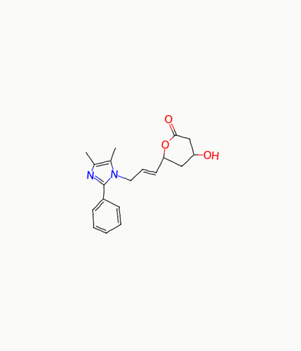 Cc1nc(-c2ccccc2)n(CC=CC2CC(O)CC(=O)O2)c1C